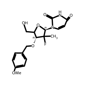 COc1ccc(CO[C@@H]2C(CO)O[C@@H](n3ccc(=O)[nH]c3=O)C2(C)F)cc1